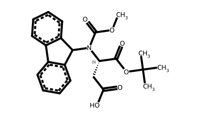 COC(=O)N(C1c2ccccc2-c2ccccc21)[C@@H](CC(=O)O)C(=O)OC(C)(C)C